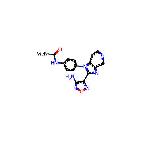 CNC(=O)Nc1ccc(-n2c(-c3nonc3N)nc3cnccc32)cc1